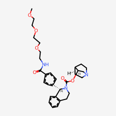 COCCOCCOCCNC(=O)c1ccc([C@H]2c3ccccc3CCN2C(=O)O[C@@H]2CN3CCC2CC3)cc1